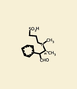 C[C@H](C(C=O)c1ccccc1)N(C)CCCS(=O)(=O)O